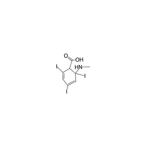 CNC1(I)C=C(I)C=C(I)C1C(=O)O